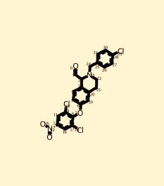 O=CC1c2ccc(Oc3c(Cl)cc([N+](=O)[O-])cc3Cl)cc2CCN1Cc1ccc(Cl)cc1